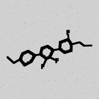 CCCc1ccc(-c2ccc(-c3ccc(CC)cc3)c(F)c2F)cc1F